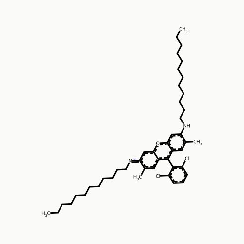 CCCCCCCCCCCC/N=c1/cc2oc3cc(NCCCCCCCCCCCC)c(C)cc3c(-c3c(Cl)cccc3Cl)c-2cc1C